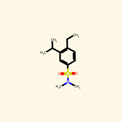 CCc1ccc(S(=O)(=O)N(C)C)cc1C(C)C